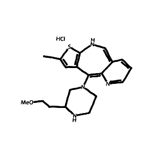 COCCC1CN(C2=c3ncccc3=CNc3sc(C)cc32)CCN1.Cl